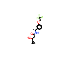 C[C@H](NC(=O)CC(O)C1CC1)c1cccc(OCC(F)(F)F)c1